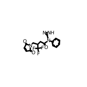 O=C1C=CC(=O)N1CC(CC(=O)N(C1=NN1)c1ccccc1)C(F)(F)F